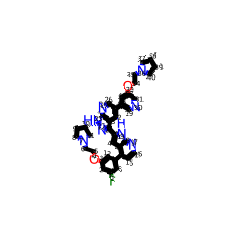 Fc1cc(OCCN2CCCC2)cc(-c2ccnc3[nH]c(-c4n[nH]c5ncc(-c6cncc(OCCN7CCCC7)c6)cc45)cc23)c1